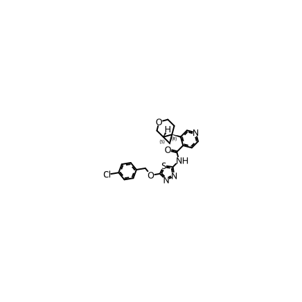 O=C(Nc1nnc(OCc2ccc(Cl)cc2)s1)c1ccncc1[C@]12CCOC[C@H]1C2